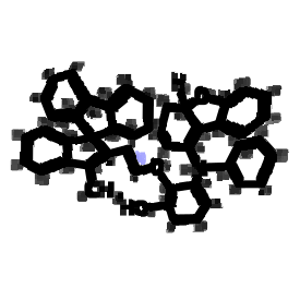 CC1=C(/C=C/Oc2c(O)cccc2N(C2=C3c4ccccc4O[C@H]3CC=C2)c2ccccc2)C2(c3ccccc31)c1ccccc1-c1ccccc12